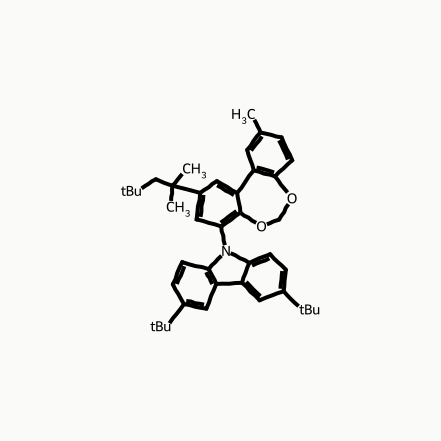 Cc1ccc2c(c1)-c1cc(C(C)(C)CC(C)(C)C)cc(-n3c4ccc(C(C)(C)C)cc4c4cc(C(C)(C)C)ccc43)c1OCO2